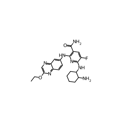 CCOc1cnc2cc(Nc3nc(NC4CCCCC4N)c(F)cc3C(N)=O)ccc2n1